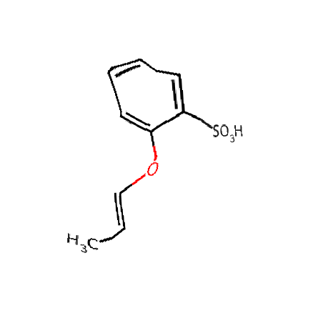 C/C=C/Oc1ccccc1S(=O)(=O)O